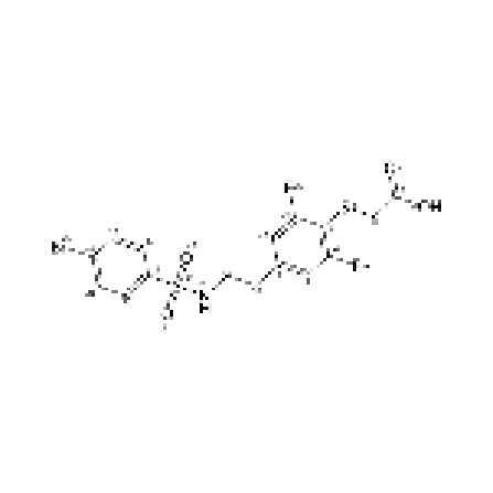 O=C(O)CSc1c(F)cc(CCNS(=O)(=O)c2ccc(Br)cc2)cc1F